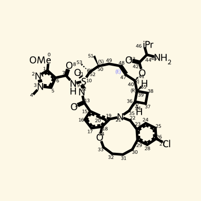 COc1nn(C)cc1C(=O)NS1(=O)=NC(=O)c2ccc3c(c2)N(Cc2ccc(Cl)cc2CCCCO3)C[C@@H]2CC[C@H]2[C@@H](OC(=O)C(N)C(C)C)/C=C/C[C@H](C)[C@H]1C